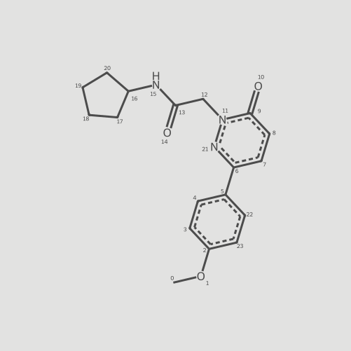 COc1ccc(-c2ccc(=O)n(CC(=O)NC3CCCC3)n2)cc1